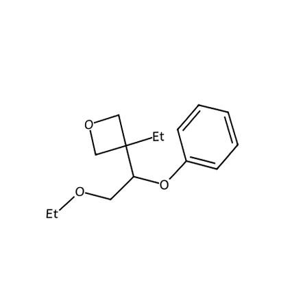 CCOCC(Oc1ccccc1)C1(CC)COC1